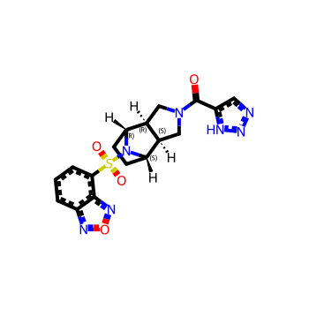 O=C(c1cnn[nH]1)N1C[C@@H]2[C@H](C1)[C@H]1CC[C@@H]2N1S(=O)(=O)c1cccc2nonc12